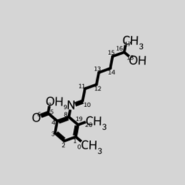 Cc1ccc(C(=O)O)c(N=CCCCCCC(C)O)c1C